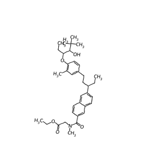 CCOC(=O)CN(C)C(=O)c1ccc2cc(C(CC)CCc3ccc(OC(CC)C(O)C(C)(C)C)c(C)c3)ccc2c1